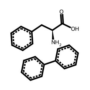 N[C@@H](Cc1ccccc1)C(=O)O.c1ccc(-c2ccccc2)cc1